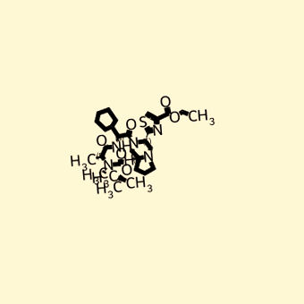 CCOC(=O)c1csc([C@@H]2CN3CCC[C@@H]3CN2C(=O)[C@@H](NC(=O)[C@H](C)N(C)C(=O)OC(C)(C)C)C2CCCCC2)n1